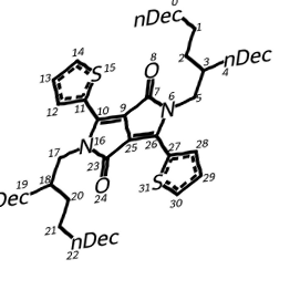 CCCCCCCCCCCCC(CCCCCCCCCC)CN1C(=O)C2=C(c3cccs3)N(CC(CCCCCCCCCC)CCCCCCCCCCCC)C(=O)C2=C1c1cccs1